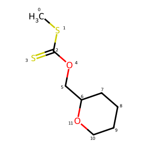 CSC(=S)OCC1CCCCO1